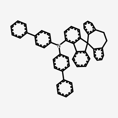 c1ccc(-c2ccc(N(c3ccc(-c4ccccc4)cc3)c3cccc4c3-c3ccccc3C43c4ccccc4CCc4ccccc43)cc2)cc1